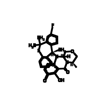 BC1(B)Sc2ccccc2[C@](B)(N2[C@@H]3COC[C@H](C)N3C(=O)c3c(O)c(=O)ccn32)c2ccc(F)cc21